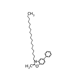 C=C1Oc2ccc(-c3ccccc3)cc2N1CCCCCCCCCCCCCCCCCC